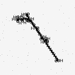 O=C(O)CCCCCCCCCCCCCCCCC(=O)N[C@@H](CCC(=O)NCCOCCOCC(=O)NCCOCCOCC(=O)NC(CCC(=O)O)C(=O)CN[C@@H](CS)C(=O)CN[C@@H](CS)C(=O)O)C(=O)O